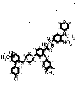 CN(c1ccc(S(=O)(=O)NC(=O)c2ccc(N3CCN(CC4=C(c5ccc(Cl)cc5)CC(C)(C)CC4)CC3)cc2Oc2cnc(N)c(F)c2)cc1[N+](=O)[O-])C1CCOCC1